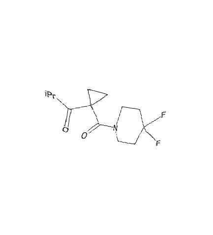 CC(C)C(=O)C1(C(=O)N2CCC(F)(F)CC2)CC1